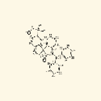 CC1(C)COc2cc3c(cc21)C1(CO3)C(=O)N(C(c2ccccc2)c2ccccc2)c2ccccc21